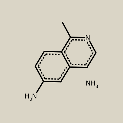 Cc1nccc2cc(N)ccc12.N